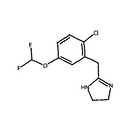 FC(F)Oc1ccc(Cl)c(CC2=NCCN2)c1